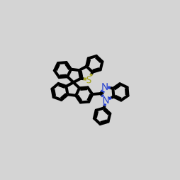 c1ccc(-n2c(-c3ccc4c(c3)C3(c5ccccc5-4)c4ccccc4-c4c3sc3ccccc43)nc3ccccc32)cc1